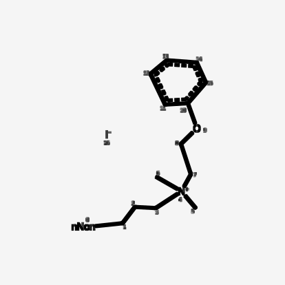 CCCCCCCCCCCC[N+](C)(C)CCOc1ccccc1.[I-]